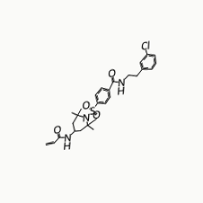 C=CC(=O)NC1CC(C)(C)N(S(=O)(=O)c2ccc(C(=O)NCCc3cccc(Cl)c3)cc2)C(C)(C)C1